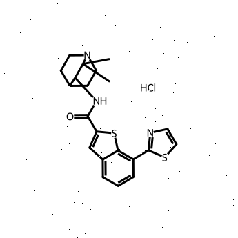 CC1(C)C(NC(=O)c2cc3cccc(-c4nccs4)c3s2)C2CCN1CC2.Cl